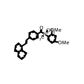 COc1ccc([N+](C)(C)C(=O)c2ccc(C=Cc3cccc4ccccc34)cc2)c(OC)c1